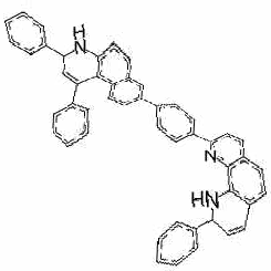 C1=CC(c2ccccc2)Nc2c1ccc1ccc(-c3ccc(-c4ccc5c6c(ccc5c4)NC(c4ccccc4)C=C6c4ccccc4)cc3)nc21